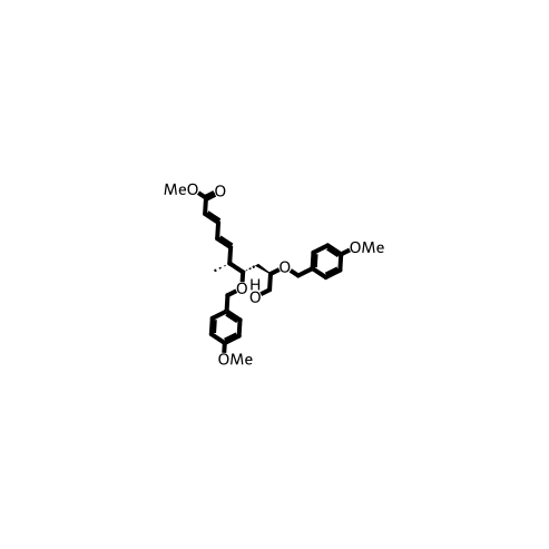 COC(=O)/C=C/C=C/[C@@H](C)[C@H](C[C@H](CO)OCc1ccc(OC)cc1)OCc1ccc(OC)cc1